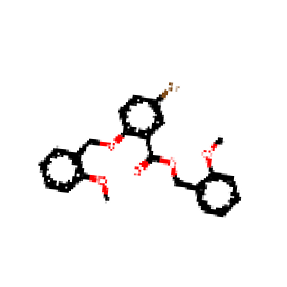 COc1ccccc1COC(=O)c1cc(Br)ccc1OCc1ccccc1OC